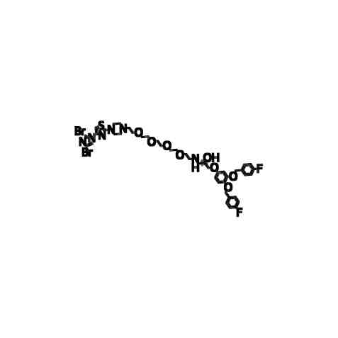 O[C@H](CNCCOCCOCCOCCOCCN1CCN(c2nc(-n3cc(Br)nc3Br)cs2)CC1)COc1ccc(OCc2ccc(F)cc2)c(OCc2ccc(F)cc2)c1